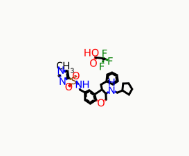 Cn1cnc(S(=O)(=O)NCc2ccc3c(c2)C(Cc2ccccc2)C(NCC2CCCC2)CO3)c1.O=C(O)C(F)(F)F